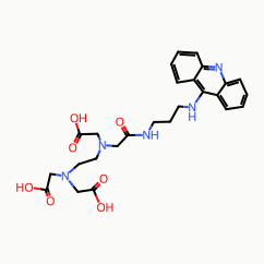 O=C(O)CN(CCN(CC(=O)O)CC(=O)NCCCNc1c2ccccc2nc2ccccc12)CC(=O)O